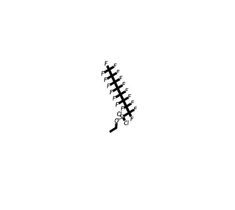 CCO[Si](Cl)(Cl)C(F)(F)C(F)(F)C(F)(F)C(F)(F)C(F)(F)C(F)(F)C(F)(F)C(F)(F)F